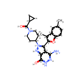 Cc1ccc2oc(-c3c4c(N)n[nH]c(=O)c4nn3C3CCN(C(=O)C4CC4)CC3)c(C)c2c1